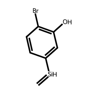 C=[SiH]c1ccc(Br)c(O)c1